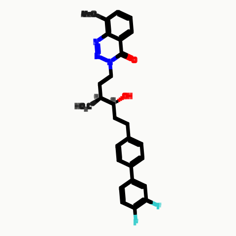 COc1cccc2c(=O)n(CC[C@H](C(=O)O)[C@H](O)CCc3ccc(-c4ccc(F)c(F)c4)cc3)nnc12